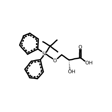 CC(C)(C)[Si](OC[C@@H](O)C(=O)O)(c1ccccc1)c1ccccc1